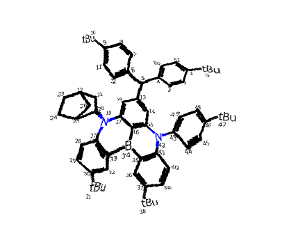 CC(C)(C)c1ccc(C(c2ccc(C(C)(C)C)cc2)c2cc3c4c(c2)N(C2CC5CCC2C5)c2ccc(C(C)(C)C)cc2B4c2cc(C(C)(C)C)ccc2N3c2ccc(C(C)(C)C)cc2)cc1